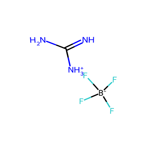 F[B-](F)(F)F.N=C(N)[NH3+]